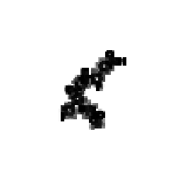 CC(C)(C)OC(=O)N1CCC(Oc2ccc(C(=O)N3CCN(C(=O)c4cc(F)cc(C5CCN(C(=O)O)CC5)c4)CC3)cc2-c2ccc(F)cc2)C1